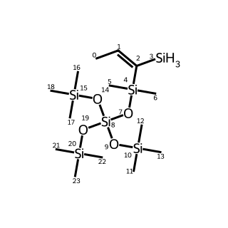 CC=C([SiH3])[Si](C)(C)O[Si](O[Si](C)(C)C)(O[Si](C)(C)C)O[Si](C)(C)C